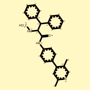 Cc1cc(-c2ccc(NC(=O)C(NC(=O)O)C(c3ccccc3)c3ccccc3)cc2)c(C)cn1